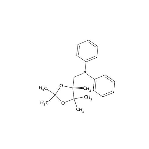 CC1(C)OC(C)(C)[C@@](C)(CP(c2ccccc2)c2ccccc2)O1